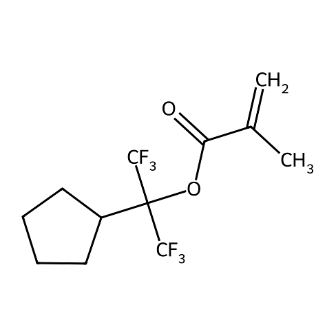 C=C(C)C(=O)OC(C1CCCC1)(C(F)(F)F)C(F)(F)F